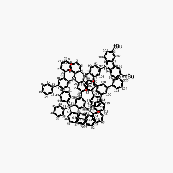 CC(C)(C)c1ccc2c(c1)N(c1ccc(-c3ccccc3)cc1-c1ccccc1)c1cc(-c3cc([Si](c4ccccc4)(c4ccccc4)c4cccc(-c5ccccc5)c4)cc([Si](c4ccccc4)(c4ccccc4)c4cccc(-c5ccccc5)c4)c3)cc3c1B2c1ccc(-n2c4ccc(C(C)(C)C)cc4c4cc(C(C)(C)C)ccc42)cc1N3c1cc(-c2ccccc2)cc(-c2ccccc2)c1